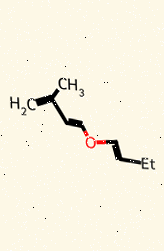 C=C(C)C=COC=CCC